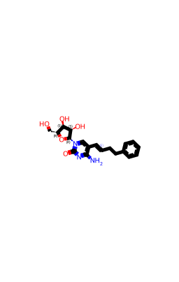 Nc1nc(=O)n([C@@H]2O[C@H](CO)[C@@H](O)[C@@H]2O)cc1/C=C/CCc1ccccc1